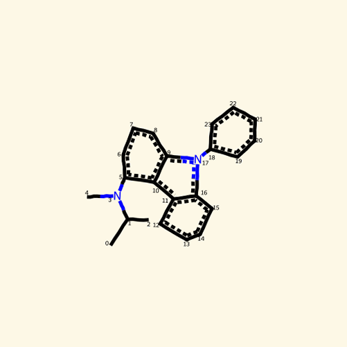 CC(C)N(C)c1cccc2c1c1ccccc1n2-c1ccccc1